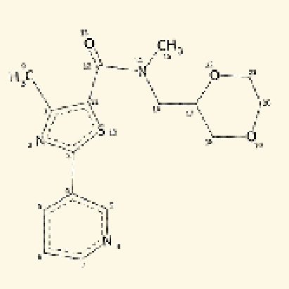 Cc1nc(-c2cccnc2)sc1C(=O)N(C)CC1COCCO1